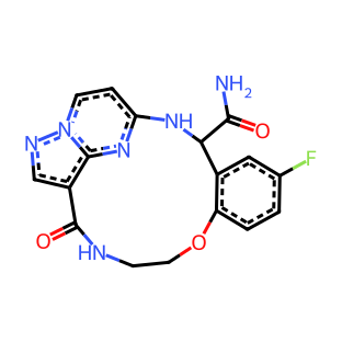 NC(=O)C1Nc2ccn3ncc(c3n2)C(=O)NCCOc2ccc(F)cc21